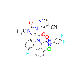 CN1C[C@@H](C(=O)N(c2cccc(F)c2)C(C(=O)NC2CC(F)(F)C2)c2ccccc2Cl)N(c2cc(C#N)ccn2)C1=O